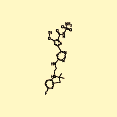 CCOc1cc(-c2cc(NCC[SH]3c4ccc(F)cc4CC3(C)C)ncn2)sc1C(=O)NS(N)(=O)=O